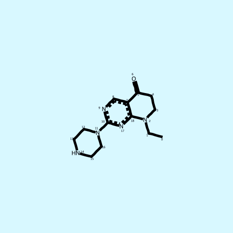 CCN1CCC(=O)c2cnc(N3CCNCC3)nc21